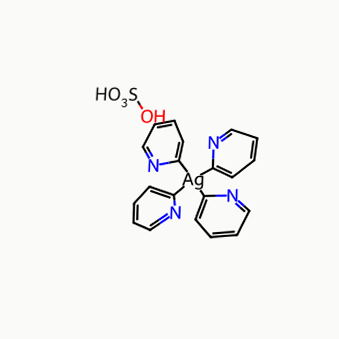 O=S(=O)(O)O.c1cc[c]([Ag]([c]2ccccn2)([c]2ccccn2)[c]2ccccn2)nc1